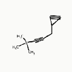 C[Si](C)(C)C#CCC1C#C1